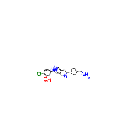 NCc1ccc(-c2cc3c4nc(-c5ccc(Cl)c(O)c5)c([nH]4)c3cn2)cc1